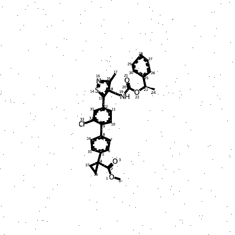 COC(=O)C1(c2ccc(-c3ccc(-c4snc(C)c4NC(=O)O[C@H](C)c4ccccc4)cc3Cl)cc2)CC1